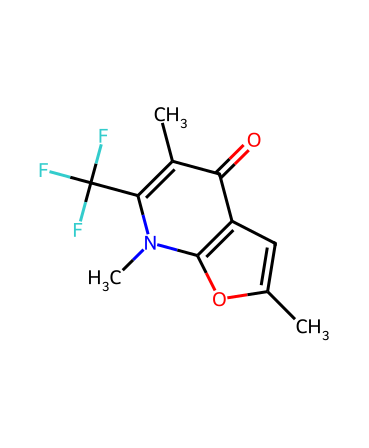 Cc1cc2c(=O)c(C)c(C(F)(F)F)n(C)c2o1